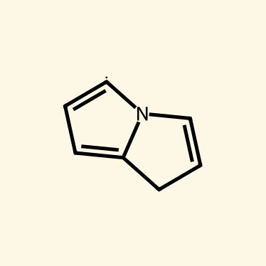 [c]1ccc2n1C=CC2